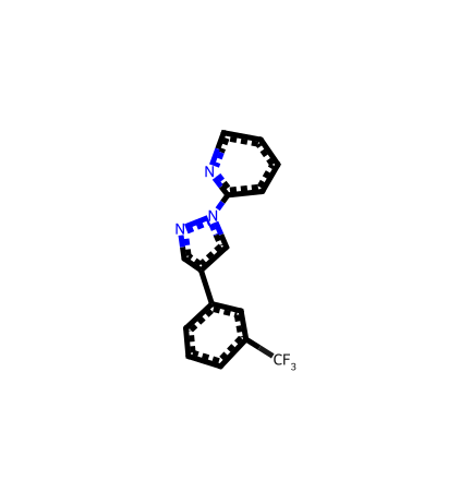 FC(F)(F)c1cccc(-c2cnn(-c3ccccn3)c2)c1